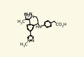 C/C(N)=C1\c2ccc(-c3cnn(C)c3)cc2C(Nc2ccc(CC(=O)O)cc2)CCN1N